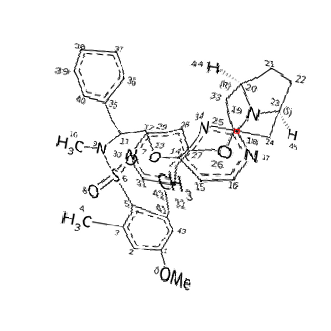 COc1cc(C)c(S(=O)(=O)N(C)C(COc2ccnc(N3[C@@H]4CC[C@H]3CC(Oc3ccncc3)C4)n2)c2ccccc2)c(C)c1